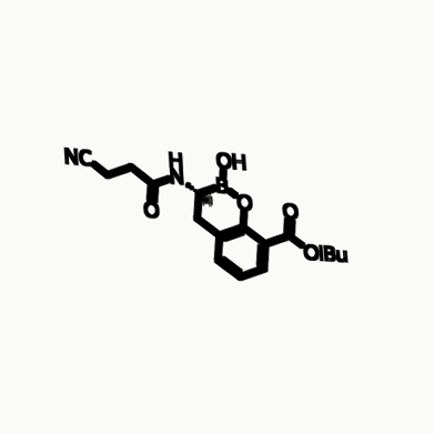 CC(C)COC(=O)c1cccc2c1OB(O)[C@@H](NC(=O)CCC#N)C2